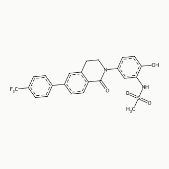 CS(=O)(=O)Nc1cc(N2CCc3cc(-c4ccc(C(F)(F)F)cc4)ccc3C2=O)ccc1O